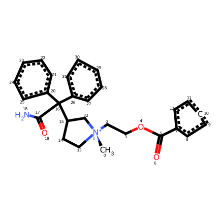 C[N@@+]1(CCOC(=O)c2ccccc2)CCC(C(C(N)=O)(c2ccccc2)c2ccccc2)C1